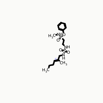 CCC/C=C(\C)CNS(=O)(=O)NCCP(=O)(NC)Oc1ccccc1